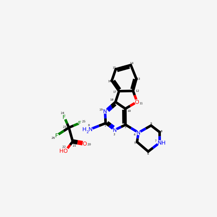 Nc1nc(N2CCNCC2)c2oc3ccccc3c2n1.O=C(O)C(F)(F)F